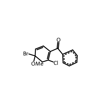 COC1(Br)C=CC(C(=O)c2ccccc2)=C(Cl)C1